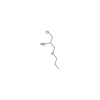 CCCOCC(O)CCl